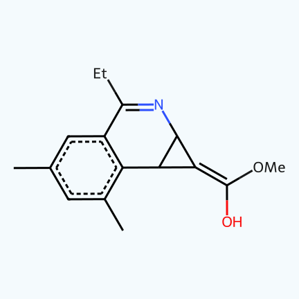 CCC1=NC2/C(=C(/O)OC)C2c2c(C)cc(C)cc21